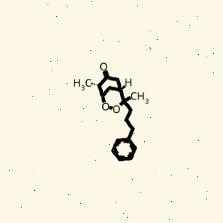 C[C@@H]1C(=O)C[C@H]2CC1OOC2(C)CCCc1ccccc1